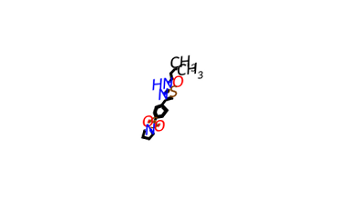 CC(C)CC(=O)Nc1nc(-c2ccc(S(=O)(=O)N3CCCC3)cc2)cs1